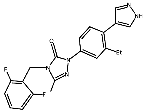 CCc1cc(-n2nc(C)n(Cc3c(F)cccc3F)c2=O)ccc1-c1cn[nH]c1